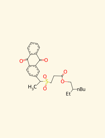 CCCCC(CC)COC(=O)CCS(=O)(=O)C(C)c1ccc2c(c1)C(=O)c1ccccc1C2=O